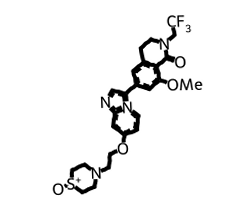 COc1cc(-c2cnc3cc(OCCN4CC[S+]([O-])CC4)ccn23)cc2c1C(=O)N(CC(F)(F)F)CC2